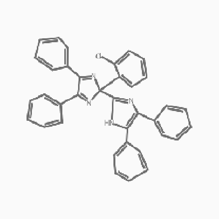 Clc1ccccc1C1(c2nc(-c3ccccc3)c(-c3ccccc3)[nH]2)N=C(c2ccccc2)C(c2ccccc2)=N1